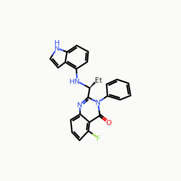 CC[C@H](Nc1cccc2[nH]ccc12)c1nc2cccc(F)c2c(=O)n1-c1ccccc1